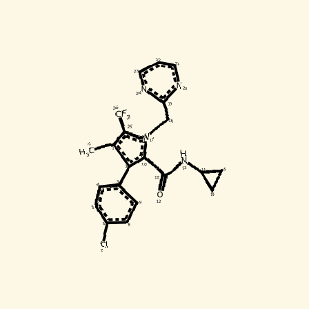 Cc1c(-c2ccc(Cl)cc2)c(C(=O)NC2CC2)n(Cc2ncccn2)c1C(F)(F)F